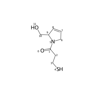 O=C(CCS)N1CC=CC1CO